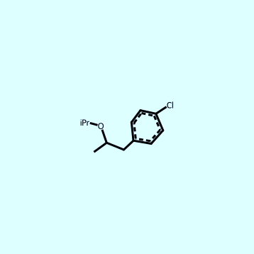 CC(C)OC(C)Cc1ccc(Cl)cc1